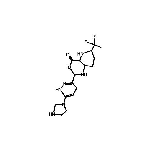 O=C1OC(C2=NNC(N3CCNC3)=CC2)NC2CCC(C(F)(F)F)NC12